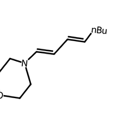 CCCC/C=C/C=C/N1CCOCC1